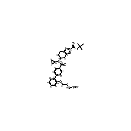 CC(C)(C)OC(=O)n1cc2c(n1)CCC(N(C(=O)c1ccc(-c3ccccc3OCCN=[N+]=[N-])cc1)C1CC1)C2